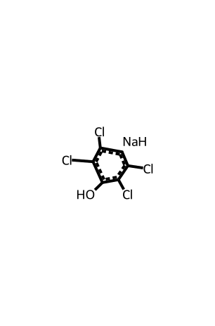 Oc1c(Cl)c(Cl)cc(Cl)c1Cl.[NaH]